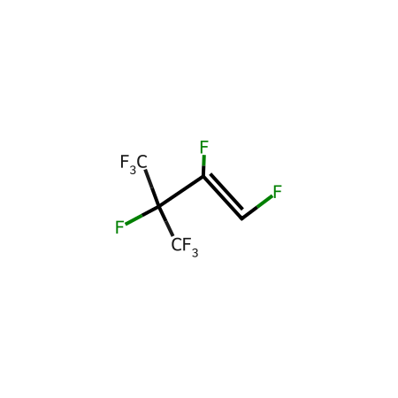 F/C=C(\F)C(F)(C(F)(F)F)C(F)(F)F